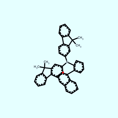 CC1(C)c2ccccc2-c2ccc(N(c3ccc4c(c3)C(C)(C)c3ccccc3-4)c3ccccc3-c3cccc4ccccc34)cc21